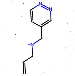 C=CCNCc1ccnnc1